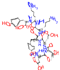 C[C@@H](O)[C@H](NC(=O)[C@@H](N)CC(=O)O)C(=O)N[C@@H](CC(=O)O)C(=O)N[C@@H](Cc1ccc(O)cc1)C(=O)N[C@@H](CCCCN)C(=O)N[C@@H](CCCCN)C(=O)N[C@@H](Cc1ccc(O)cc1)C(=O)O